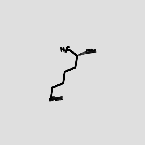 CCCCCCCCC[C@H](C)OC(C)=O